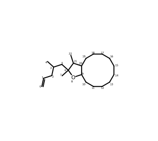 C=CCC(C)CC1(C)OC2CCCCCCCCCCC2C1C